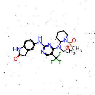 CCN(c1nc(Nc2ccc3c(c2)CC(=O)N3)ncc1C(F)(F)F)C1CCCCN1S(C)(=O)=O